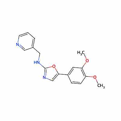 COc1ccc(-c2cnc(NCc3cccnc3)o2)cc1OC